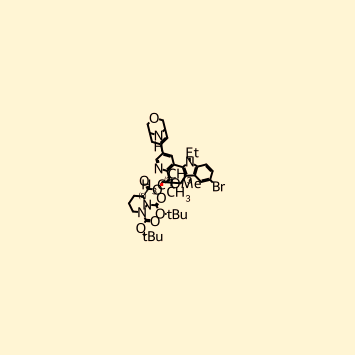 CCn1c(-c2cc(C3=CC4COCC(C3)N4)cnc2[C@H](C)OC)c(CC(C)(C)COC(=O)[C@@H]2CCCN(C(=O)OC(C)(C)C)N2C(=O)OC(C)(C)C)c2cc(Br)ccc21